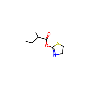 CCC(C)C(=O)OC1=NCCS1